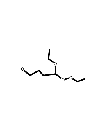 CCOOC(CCC[O])OCC